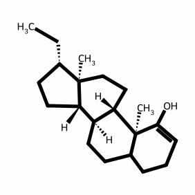 CC[C@H]1CC[C@H]2[C@@H]3CCC4CCC=C(O)[C@]4(C)[C@H]3CC[C@]12C